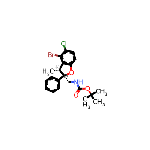 C[C@@H]1c2c(ccc(Cl)c2Br)O[C@@]1(CNC(=O)OC(C)(C)C)c1ccccc1